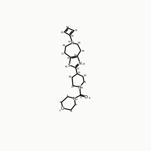 O=C(N1CCOCC1)N1CCC(c2nc3c(s2)CCN(C2=CC=C2)CC3)CC1